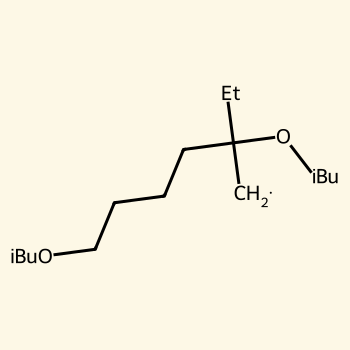 [CH2]C(CC)(CCCCOCC(C)C)OC(C)CC